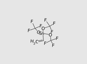 C=[CH][Sn]([O]C(F)(F)F)([O]C(F)(F)F)[O]C(F)(F)F